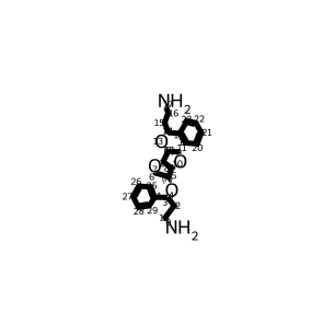 NCCC(O[C@@H]1COC2C1OC[C@H]2OC(CCN)c1ccccc1)c1ccccc1